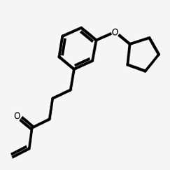 C=CC(=O)CCCc1cccc(OC2CCCC2)c1